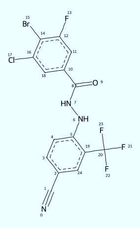 N#Cc1ccc(NNC(=O)c2cc(F)c(Br)c(Cl)c2)c(C(F)(F)F)c1